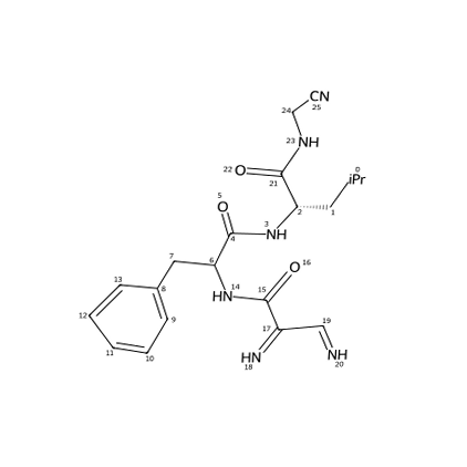 CC(C)C[C@H](NC(=O)C(Cc1ccccc1)NC(=O)C(=N)C=N)C(=O)NCC#N